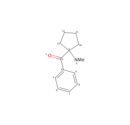 CNC1(C(=O)c2ccccc2)CCCC1